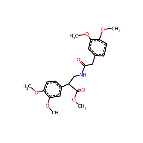 COC(=O)C(CNC(=O)Cc1ccc(OC)c(OC)c1)c1ccc(OC)c(OC)c1